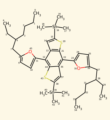 CCCCC(CC)Cc1ccc(-c2c3c[c]([Sn]([CH3])([CH3])[CH3])sc3c(-c3ccc(CC(CC)CCCC)o3)c3c[c]([Sn]([CH3])([CH3])[CH3])sc23)o1